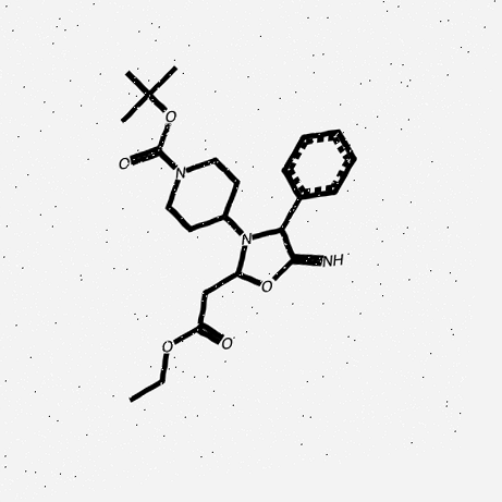 CCOC(=O)CC1OC(=N)C(c2ccccc2)N1C1CCN(C(=O)OC(C)(C)C)CC1